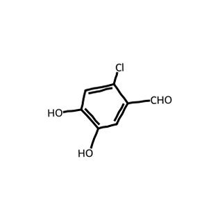 O=Cc1cc(O)c(O)cc1Cl